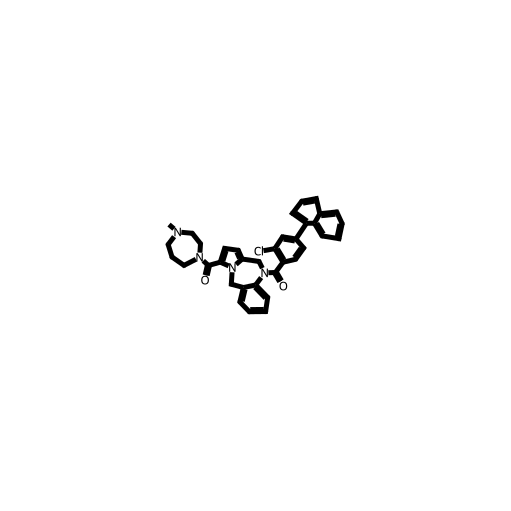 CN1CCCN(C(=O)c2ccc3n2Cc2ccccc2N(C(=O)c2ccc(-c4cccc5ccccc45)cc2Cl)C3)CC1